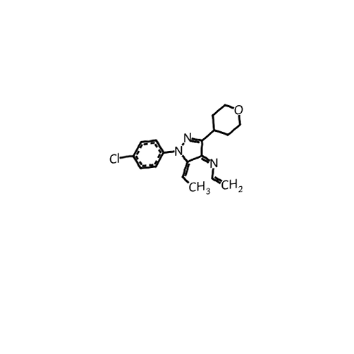 C=C/N=C1/C(C2CCOCC2)=NN(c2ccc(Cl)cc2)/C1=C/C